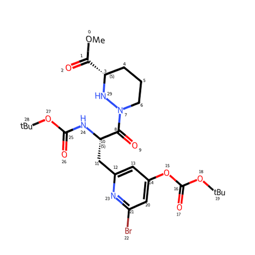 COC(=O)[C@@H]1CCCN(C(=O)[C@H](Cc2cc(OC(=O)OC(C)(C)C)cc(Br)n2)NC(=O)OC(C)(C)C)N1